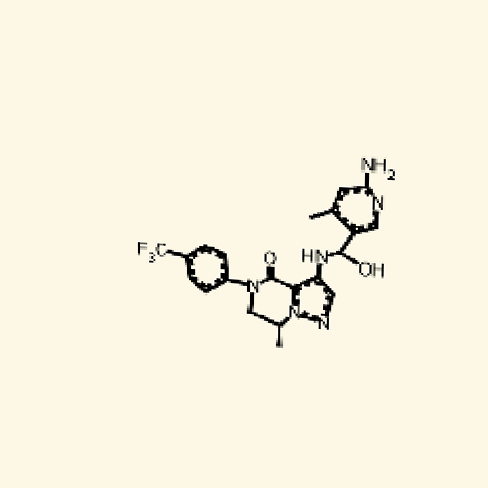 Cc1cc(N)ncc1C(O)Nc1cnn2c1C(=O)N(c1ccc(C(F)(F)F)cc1)C[C@@H]2C